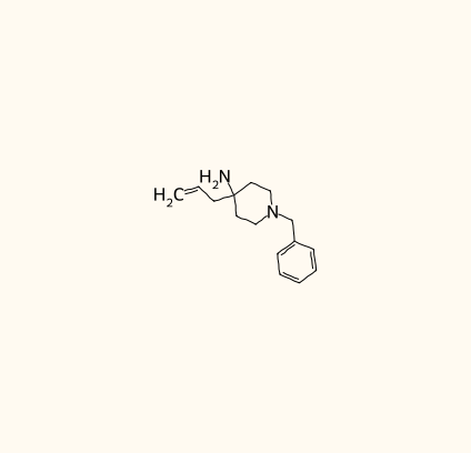 C=CCC1(N)CCN(Cc2ccccc2)CC1